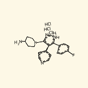 Cl.Cl.Cl.NC1CCN(c2n[nH]c(-c3ccc(F)cc3)c2-c2ccncc2)CC1